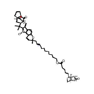 CC1(C/C=C/CCCCCCCCOC(=O)CCCC[C@@H]2SC[C@]3(C)NC(=O)N[C@H]23)C=Cc2c(ccc3c2[N+]([O-])=C2C3=C[C@@]34NC(=O)[C@]5(CCCN5C3=O)CC4C2(C)C)O1